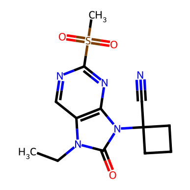 CCn1c(=O)n(C2(C#N)CCC2)c2nc(S(C)(=O)=O)ncc21